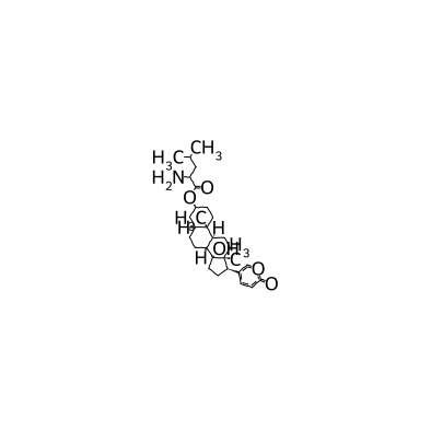 CC(C)CC(N)C(=O)O[C@H]1CC[C@@]2(C)[C@H](CC[C@@H]3[C@@H]2CC[C@]2(C)[C@@H](c4ccc(=O)oc4)CC[C@]32O)C1